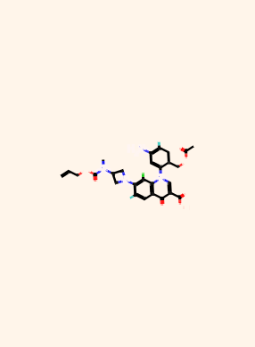 C=CCOC(=O)N(C)C1CN(c2c(F)cc3c(=O)c(C(=O)O)cn(C4=CC(N)=C(F)CC4COC(C)=O)c3c2Cl)C1